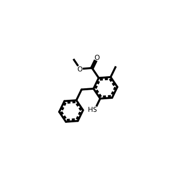 COC(=O)c1c(C)ccc(S)c1Cc1ccccc1